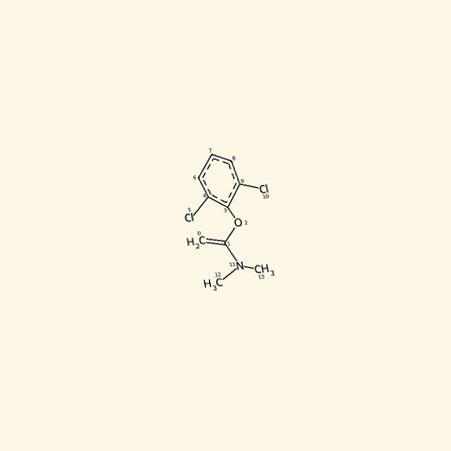 C=C(Oc1c(Cl)cccc1Cl)N(C)C